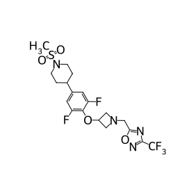 CS(=O)(=O)N1CCC(c2cc(F)c(OC3CN(Cc4nc(C(F)(F)F)no4)C3)c(F)c2)CC1